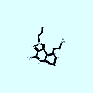 CCCn1cc2c(n1)c(N)nc1cccc(CCN)c12